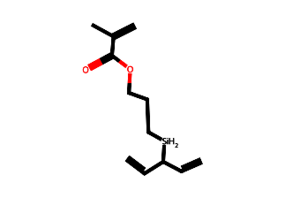 C=CC(C=C)[SiH2]CCCOC(=O)C(=C)C